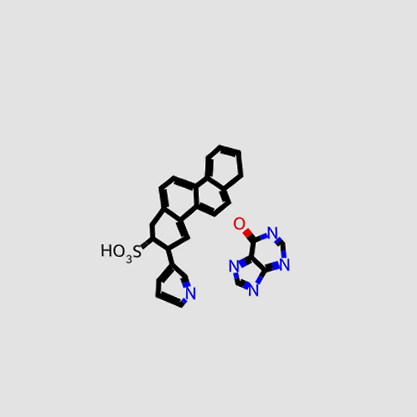 O=C1N=CN=C2N=CN=C12.O=S(=O)(O)C1Cc2ccc3c4c(ccc3c2=CC1c1cccnc1)CC=CC=4